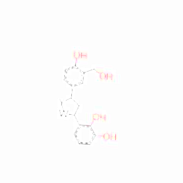 OCc1cc([CH]2C[CH](c3cccc(O)c3O)[W][Y]2)ccc1O